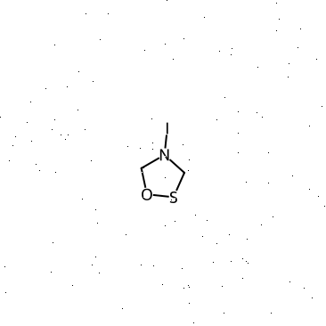 IN1COSC1